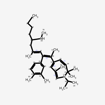 CCCCC(C/C(C)=C/C(=C(C)/C1=C/C(C)=C/N(C(C)C)C(C)(C)/C=C\1)c1ccc(C)c(C)c1)NC